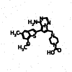 COc1cc(C)cc2cc(-c3cc(CN4CCN(C(=O)O)CC4)n4ncnc(N)c34)sc12